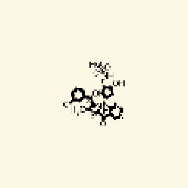 Cc1sc(C(=O)c2cncnc2N[C@@H]2C[C@H](CNS(=O)(=O)O)[C@@H](O)C2)nc1[C@H](O)c1cccc(Cl)c1